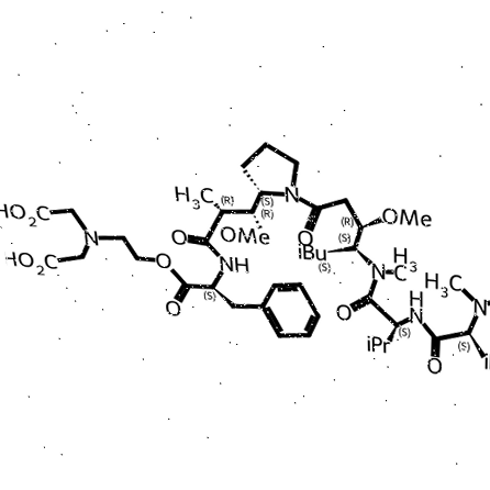 CC[C@H](C)[C@@H]([C@@H](CC(=O)N1CCC[C@H]1[C@H](OC)[C@@H](C)C(=O)N[C@@H](Cc1ccccc1)C(=O)OCCN(CC(=O)O)CC(=O)O)OC)N(C)C(=O)[C@@H](NC(=O)[C@H](C(C)C)N(C)C)C(C)C